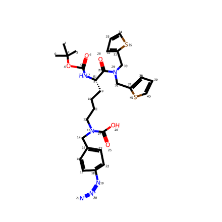 CC(C)(C)OC(=O)N[C@@H](CCCCN(Cc1ccc(N=[N+]=[N-])cc1)C(=O)O)C(=O)N(Cc1cccs1)Cc1cccs1